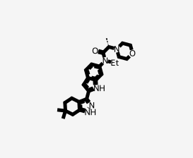 CCN(C(=O)[C@H](C)N1CCOCC1)c1ccc2cc(-c3n[nH]c4c3CCC(C)(C)C4)[nH]c2c1